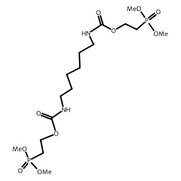 COP(=O)(CCOC(=O)NCCCCCCNC(=O)OCCP(=O)(OC)OC)OC